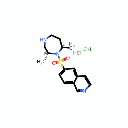 C[C@@H]1CCNC[C@@H](C)N1S(=O)(=O)c1ccc2cnccc2c1.Cl.Cl